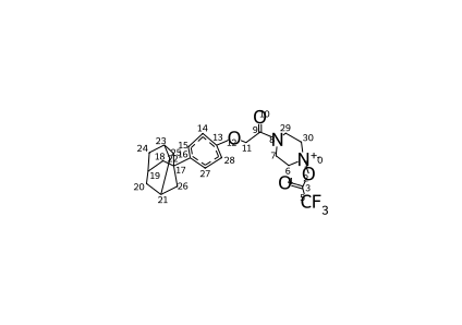 C[N+]1(OC(=O)C(F)(F)F)CCN(C(=O)COc2ccc(C34CC5CC(CC(C5)C3)C4)cc2)CC1